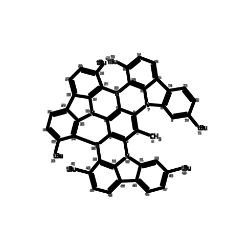 Cc1c2c3c4c5c1-n1c6cc(C(C)(C)C)ccc6c6ccc(C(C)(C)C)c(c61)B5c1c(C(C)(C)C)ccc5c6ccc(C(C)(C)C)c(c6n-4c15)B3c1c(C(C)(C)C)ccc3c4ccc(C(C)(C)C)cc4n-2c13